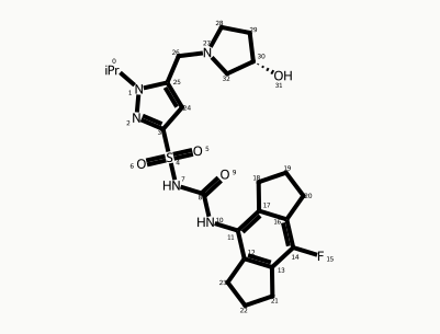 CC(C)n1nc(S(=O)(=O)NC(=O)Nc2c3c(c(F)c4c2CCC4)CCC3)cc1CN1CC[C@H](O)C1